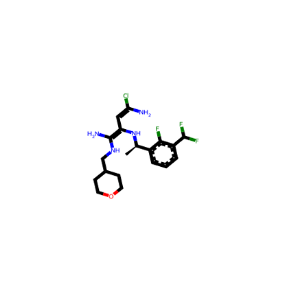 C[C@@H](NC(/C=C(\N)Cl)=C(/N)NCC1CCOCC1)c1cccc(C(F)F)c1F